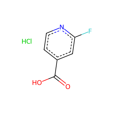 Cl.O=C(O)c1ccnc(F)c1